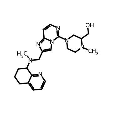 CN1CCN(c2nccc3nc(CN(C)C4CCCc5cccnc54)cn23)CC1CO